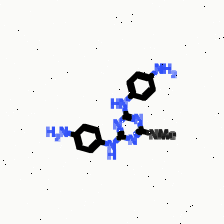 CNc1nc(Nc2ccc(N)cc2)nc(Nc2ccc(N)cc2)n1